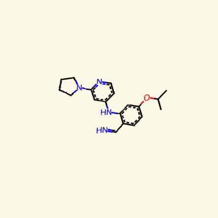 CC(C)Oc1ccc(C=N)c(Nc2ccnc(N3CCCC3)c2)c1